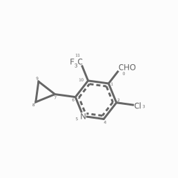 O=Cc1c(Cl)cnc(C2CC2)c1C(F)(F)F